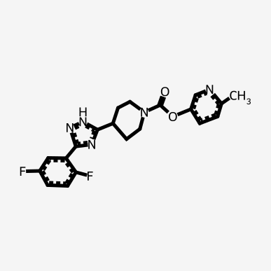 Cc1ccc(OC(=O)N2CCC(c3nc(-c4cc(F)ccc4F)n[nH]3)CC2)cn1